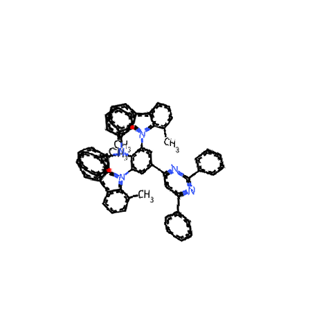 Cc1cccc2c3cccc(C)c3n(-c3cc(-c4cc(-c5ccccc5)nc(-c5ccccc5)n4)cc(-n4c5c(C)cccc5c5cccc(C)c54)c3N(c3ccccc3)c3ccccc3)c12